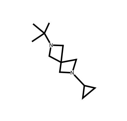 CC(C)(C)N1CC2(CN(C3CC3)C2)C1